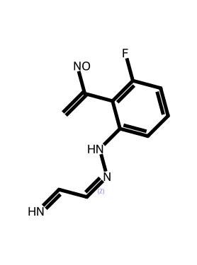 C=C(N=O)c1c(F)cccc1N/N=C\C=N